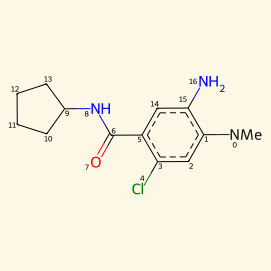 CNc1cc(Cl)c(C(=O)NC2CCCC2)cc1N